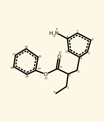 CCC(Cc1cccc(N)c1)C(=O)Oc1ccccc1